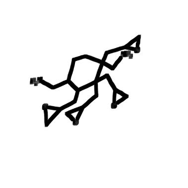 NCC1CCC(CN)(CC2CO2)C(CC2CO2)(CC2CO2)C1CC1CO1